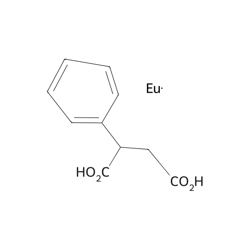 O=C(O)CC(C(=O)O)c1ccccc1.[Eu]